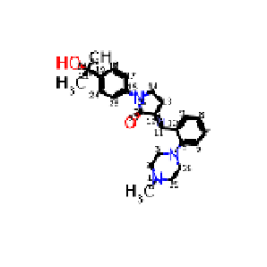 CN1CCN(c2ccccc2/C=C2\CCN(c3ccc(C(C)(C)O)cc3)C2=O)CC1